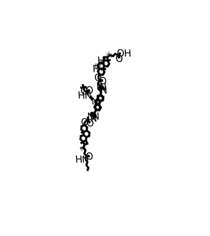 CCCCNC(=O)CC[C@@H](C)C1CC2C3CCC4CC(OC(=O)Cn5cc(-c6ccc7c8ccc(-c9cn(CC(=O)OC%10CCC%11(C)C%12CCC%13(C)C(CC%13[C@H](C)CCC(=O)O)[C@@H]%12C[C@H](C)[C@@H]%11C%10)nn9)cc8n(CCNC(=O)OC(C)(C)C)c7c6)nn5)CCC4(C)C3CCC21C